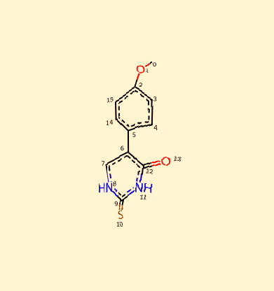 COc1ccc(-c2c[nH]c(=S)[nH]c2=O)cc1